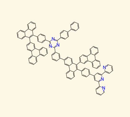 c1ccc(-c2ccc(-c3nc(-c4ccc(-c5c(-c6ccc7c8ccccc8c8ccccc8c7c6)c6ccccc6c6ccccc56)cc4)nc(-c4cccc(-c5ccc6c(-c7ccc8c9ccccc9c9ccccc9c8c7)c(-c7ccc(-c8cc(-c9ccccn9)nc(-c9ccccn9)c8)cc7)c7ccccc7c6c5)c4)n3)cc2)cc1